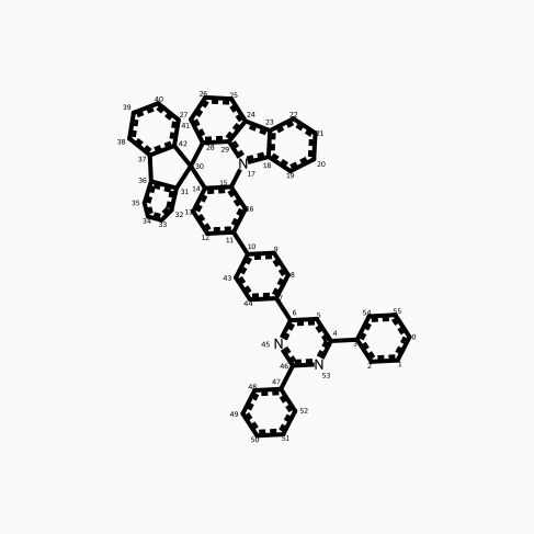 c1ccc(-c2cc(-c3ccc(-c4ccc5c(c4)-n4c6ccccc6c6cccc(c64)C54c5ccccc5-c5ccccc54)cc3)nc(-c3ccccc3)n2)cc1